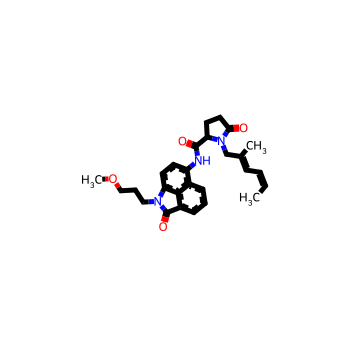 C/C=C\C=C(/C)CN1C(=O)CCC1C(=O)Nc1ccc2c3c(cccc13)C(=O)N2CCCOC